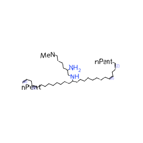 CCCCC/C=C\C/C=C\CCCCCCCCC(CCCCCCCC/C=C\C/C=C\CCCCC)NCC(N)CCCCNC